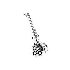 CCCCCCCCCCCCCCCC(=O)NCCCPOCC(C#N)(N(C(C)C)C(C)C)C(OC)(OC)C(c1ccccc1)(c1ccccc1)c1ccccc1